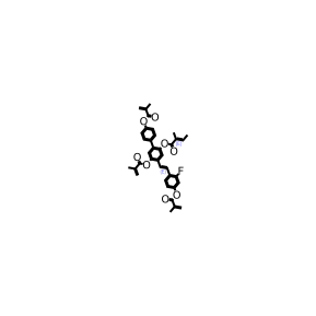 C=C(C)C(=O)Oc1ccc(-c2cc(OC(=O)C(=C)C)c(/C=C/c3ccc(OC(=O)C(=C)C)cc3F)cc2OC(=O)/C(C)=C/C)cc1